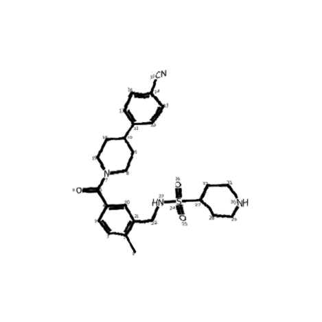 Cc1ccc(C(=O)N2CCC(c3ccc(C#N)cc3)CC2)cc1CNS(=O)(=O)C1CCNCC1